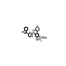 COc1cc(C2=CCN(C)CC2)c(Nc2nccc(-c3cn(C)c4ccccc34)n2)cc1N